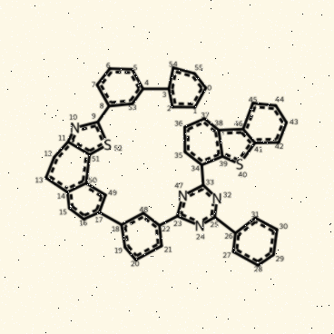 c1ccc(-c2cccc(-c3nc4ccc5ccc(-c6cccc(-c7nc(-c8ccccc8)nc(-c8cccc9c8sc8ccccc89)n7)c6)cc5c4s3)c2)cc1